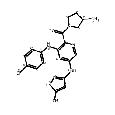 Cc1cc(Nc2cnc(C(=O)N3CC[C@@H](N)C3)c(Nc3ccc(Cl)cc3)n2)n[nH]1